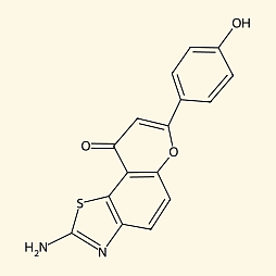 Nc1nc2ccc3oc(-c4ccc(O)cc4)cc(=O)c3c2s1